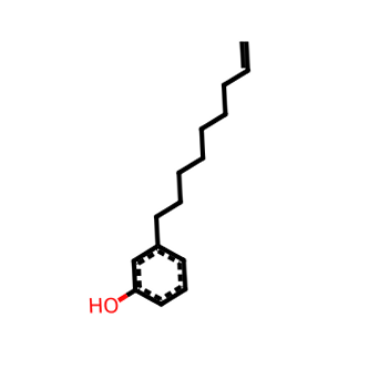 C=CCCCCCCCc1cccc(O)c1